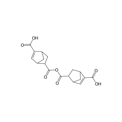 O=C(O)C1=CC2CC1CC2C(=O)OC(=O)C1CC2CC1C=C2C(=O)O